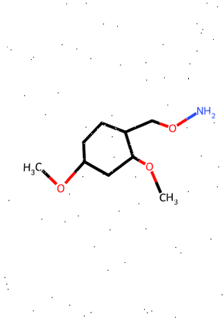 COC1CCC(CON)C(OC)C1